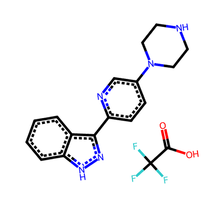 O=C(O)C(F)(F)F.c1ccc2c(-c3ccc(N4CCNCC4)cn3)n[nH]c2c1